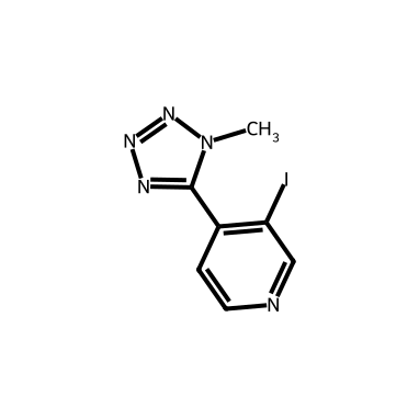 Cn1nnnc1-c1ccncc1I